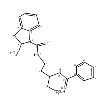 O=C(O)CC(CCNC(=O)N1c2ccccc2CC1C(=O)O)NC(=O)c1ccccc1